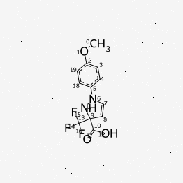 COc1ccc(N2C=CC(C(=O)O)(C(F)(F)F)N2)cc1